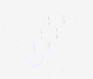 O=C1c2ccccc2Cc2nc3nnnn3nc21